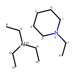 CCN1CCCCC1.C[CH2][Al]([CH2]C)[CH2]C